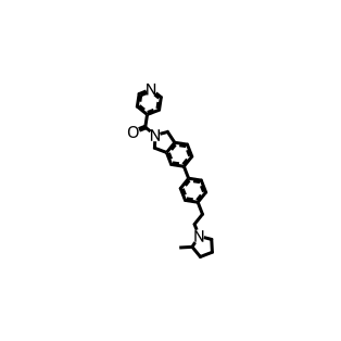 CC1CCCN1CCc1ccc(-c2ccc3c(c2)CN(C(=O)c2ccncc2)C3)cc1